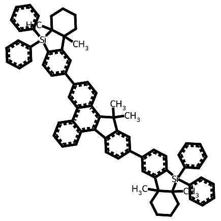 CC1(C)c2cc(-c3ccc4c(c3)C3(C)CCCCC3(C)[Si]4(c3ccccc3)c3ccccc3)ccc2-c2c1c1ccc(-c3ccc4c(c3)C3(C)CCCCC3(C)[Si]4(c3ccccc3)c3ccccc3)cc1c1ccccc21